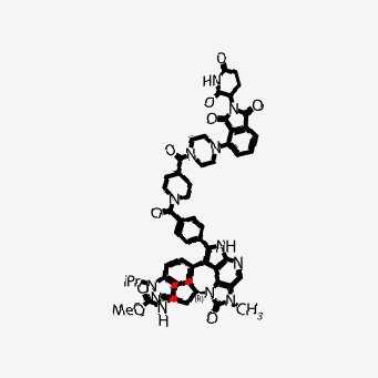 COC(=O)N[C@@H]1CC[C@@H](n2c(=O)n(C)c3cnc4[nH]c(-c5ccc(C(=O)N6CCC(C(=O)N7CCN(c8cccc9c8C(=O)N(C8CCC(=O)NC8=O)C9=O)CC7)CC6)cc5)c(-c5ccc6c(cnn6C(C)C)c5)c4c32)C1